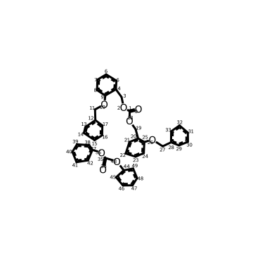 O=C(OCc1ccccc1OCc1ccccc1)OCc1ccccc1OCc1ccccc1.O=C(Oc1ccccc1)Oc1ccccc1